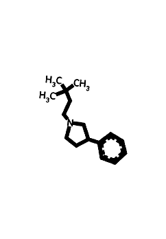 CC(C)(C)CCN1CCC(c2ccccc2)C1